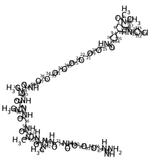 CC(=O)N1c2ccc(-c3ccc(C(=O)NCCOCCOCCOCCOCCOCCOCCOCCOCCNC(=O)c4cc(NC(=O)c5nc(NC(=O)CCNC(=O)c6cc(NC(=O)c7nc(NC(=O)CCNC(=O)COCCOCCOCCNC(=N)N)cn7C)cn6C)cn5C)cn4C)cc3)cc2[C@H](Nc2ccc(Cl)cc2)C[C@@H]1C